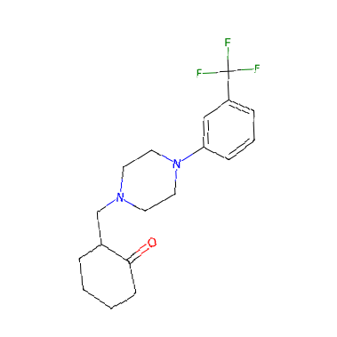 O=C1CCCCC1CN1CCN(c2cccc(C(F)(F)F)c2)CC1